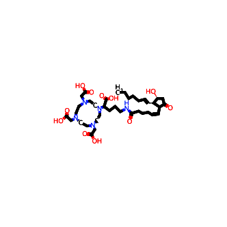 CCCCC/C=C/[C@H]1C(/C=C\CCCC(=O)NCCCC(C(=O)O)N2CCN(CC(=O)O)CCN(CC(=O)O)CCN(CC(=O)O)CC2)C(=O)C[C@H]1O